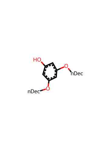 CCCCCCCCCCOc1cc(O)cc(OCCCCCCCCCC)c1